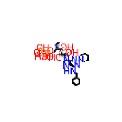 C/C=C(/COP(=O)(O)CP(=O)(O)O)[C@@H](O)[C@@H](O)[C@@H](O)n1cnc2c(NCc3ccccc3)nc(N3CCCCC3)nc21